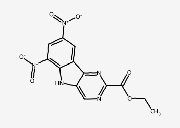 CCOC(=O)c1ncc2[nH]c3c([N+](=O)[O-])cc([N+](=O)[O-])cc3c2n1